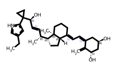 C=C1/C(=C\C=C2/CCC[C@]3(C)[C@@H]([C@H](C)/C=C/[C@H](O)C4(c5cc(CC)c[nH]5)CC4)CC[C@@H]23)C[C@@H](O)C[C@@H]1O